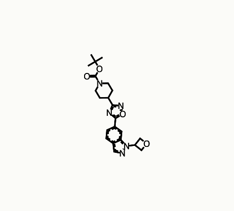 CC(C)(C)OC(=O)N1CCC(c2noc(-c3ccc4cnn(C5COC5)c4c3)n2)CC1